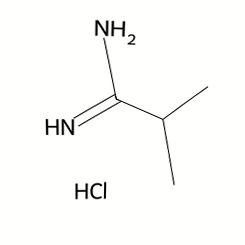 CC(C)C(=N)N.Cl